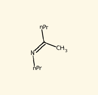 C[CH]C/C(C)=N/CCC